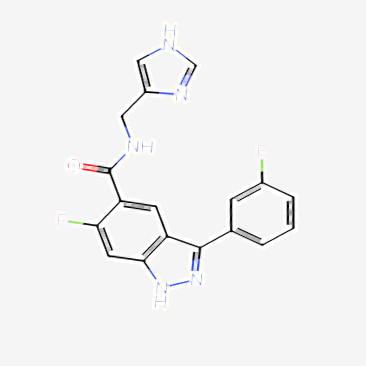 O=C(NCc1c[nH]cn1)c1cc2c(-c3cccc(F)c3)n[nH]c2cc1F